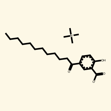 CCCCCCCCCCCC(=O)c1ccc(O)c(C(=O)[O-])c1.C[N+](C)(C)C